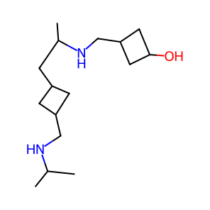 CC(C)NCC1CC(CC(C)NCC2CC(O)C2)C1